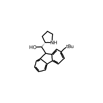 CC(C)(C)c1ccc2c(c1)C(C(O)[C@@H]1CCCN1)c1ccccc1-2